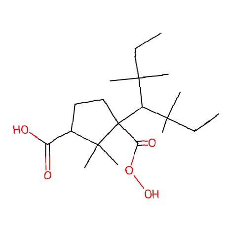 CCC(C)(C)C(C(C)(C)CC)C1(C(=O)OO)CCC(C(=O)O)C1(C)C